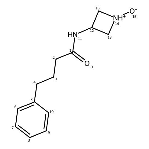 O=C(CCCc1ccccc1)NC1C[NH+]([O-])C1